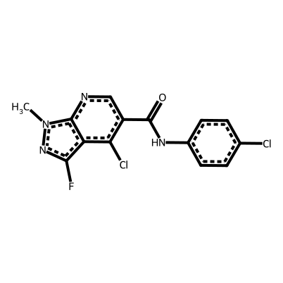 Cn1nc(F)c2c(Cl)c(C(=O)Nc3ccc(Cl)cc3)cnc21